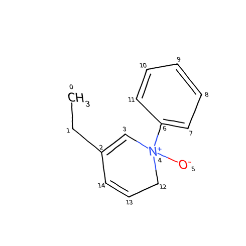 CCC1=C[N+]([O-])(c2ccccc2)CC=C1